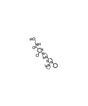 C[C@@H]1CN(c2ncc(C(=O)NCCO)cc2Cl)CCN1C1=NC(N2CCC[C@H]2C)N(c2ccccc2)C=C1